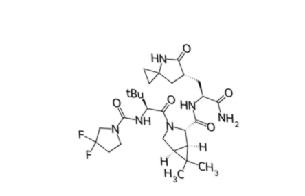 CC(C)(C)[C@H](NC(=O)N1CCC(F)(F)C1)C(=O)N1C[C@H]2[C@@H]([C@H]1C(=O)N[C@@H](C[C@@H]1CC3(CC3)NC1=O)C(N)=O)C2(C)C